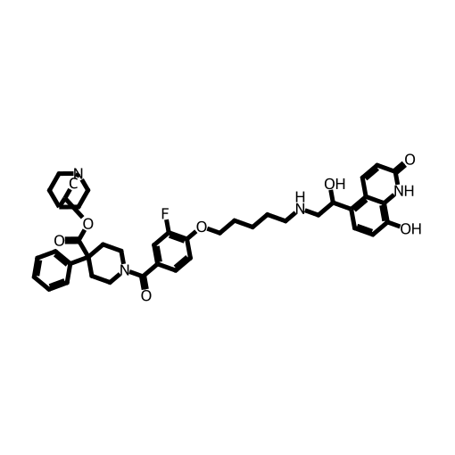 O=C(c1ccc(OCCCCCNCC(O)c2ccc(O)c3[nH]c(=O)ccc23)c(F)c1)N1CCC(C(=O)OC2CN3CCC2CC3)(c2ccccc2)CC1